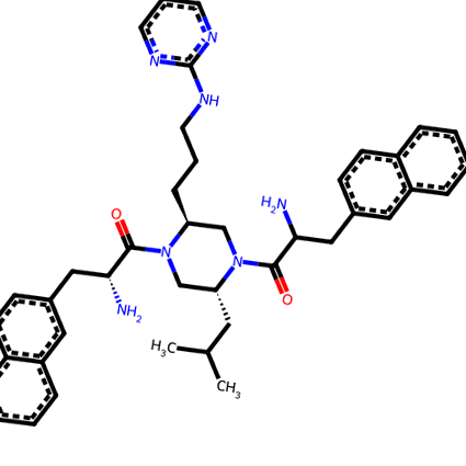 CC(C)C[C@@H]1CN(C(=O)[C@H](N)Cc2ccc3ccccc3c2)[C@@H](CCCNc2ncccn2)CN1C(=O)C(N)Cc1ccc2ccccc2c1